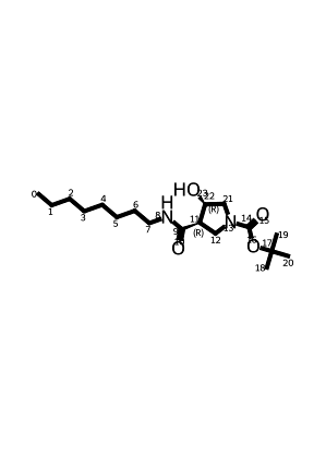 CCCCCCCCNC(=O)[C@@H]1CN(C(=O)OC(C)(C)C)C[C@@H]1O